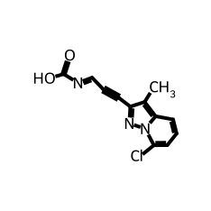 Cc1c(C#CC=NC(=O)O)nn2c(Cl)cccc12